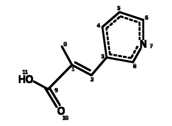 C/C(=C\c1cccnc1)C(=O)O